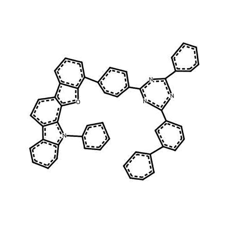 c1ccc(-c2cccc(-c3nc(-c4ccccc4)nc(-c4ccc(-c5cccc6c5oc5c6ccc6c7ccccc7n(-c7ccccc7)c65)cc4)n3)c2)cc1